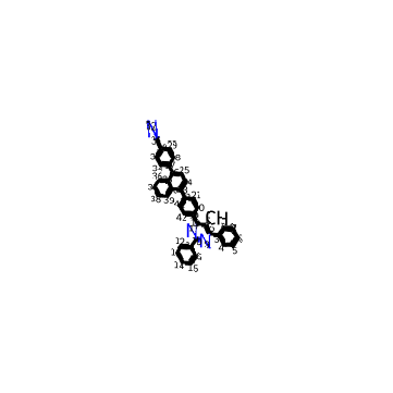 Cc1c(-c2ccccc2)nc(-c2ccccc2)nc1-c1ccc(-c2ccc(-c3ccc(C#N)cc3)c3ccccc23)cc1